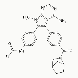 CCC(=O)Nc1ccc(-c2c(-c3ccc(C(=O)N4CC5CCC4C5)cc3)c3c(N)ncnc3n2C)cc1